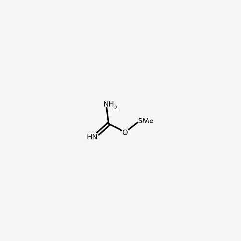 CSOC(=N)N